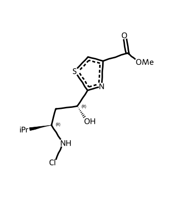 COC(=O)c1csc([C@H](O)C[C@@H](NCl)C(C)C)n1